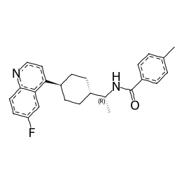 Cc1ccc(C(=O)N[C@H](C)[C@H]2CC[C@H](c3ccnc4ccc(F)cc43)CC2)cc1